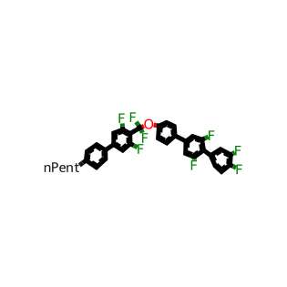 CCCCCc1ccc(-c2cc(F)c(C(F)(F)Oc3ccc(-c4cc(F)c(-c5ccc(F)c(F)c5)c(F)c4)cc3)c(F)c2)cc1